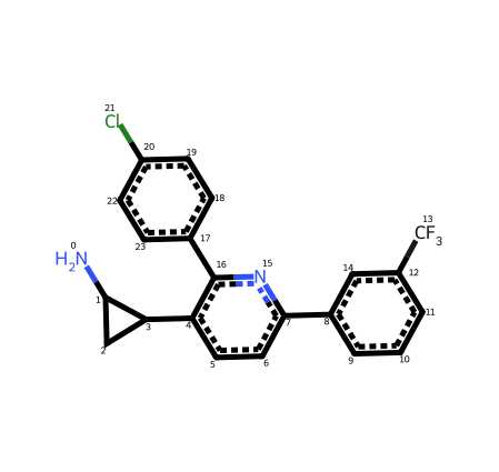 NC1CC1c1ccc(-c2cccc(C(F)(F)F)c2)nc1-c1ccc(Cl)cc1